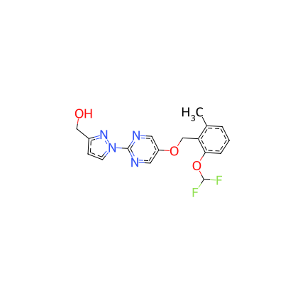 Cc1cccc(OC(F)F)c1COc1cnc(-n2ccc(CO)n2)nc1